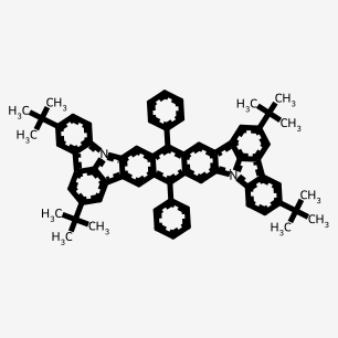 CC(C)(C)c1ccc2c(c1)c1cc(C(C)(C)C)cc3c4cc5c(-c6ccccc6)c6cc7c(cc6c(-c6ccccc6)c5cc4n2c13)c1cc(C(C)(C)C)cc2c3cc(C(C)(C)C)ccc3n7c21